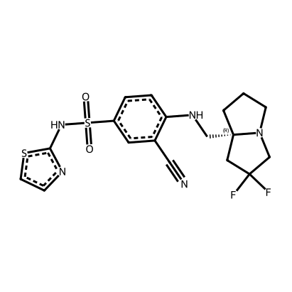 N#Cc1cc(S(=O)(=O)Nc2nccs2)ccc1NC[C@]12CCCN1CC(F)(F)C2